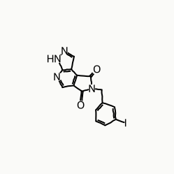 O=C1c2cnc3[nH]ncc3c2C(=O)N1Cc1cccc(I)c1